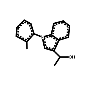 Cc1ccccc1-n1cc(C(C)O)c2ccccc21